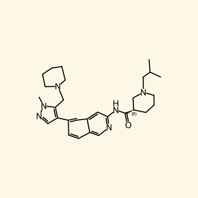 CC(C)CN1CCC[C@@H](C(=O)Nc2cc3cc(-c4cnn(C)c4CN4CCCCC4)ccc3cn2)C1